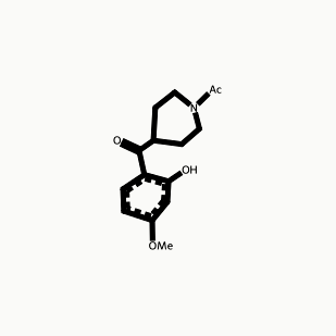 COc1ccc(C(=O)C2CCN(C(C)=O)CC2)c(O)c1